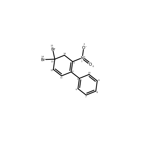 O=[N+]([O-])C1=C(c2ccccc2)C=CC(Br)(Br)C1